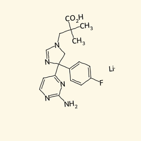 CC(C)(CN1C=NC(c2ccc(F)cc2)(c2ccnc(N)n2)C1)C(=O)O.[Li]